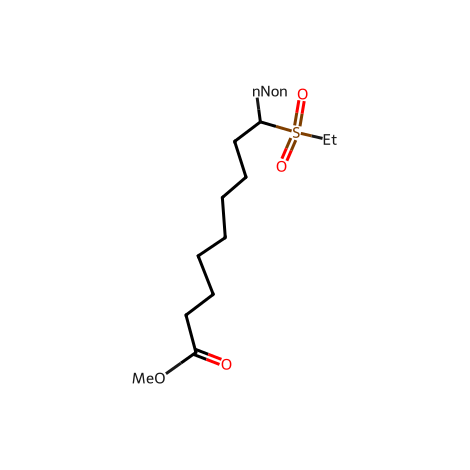 CCCCCCCCCC(CCCCCCCC(=O)OC)S(=O)(=O)CC